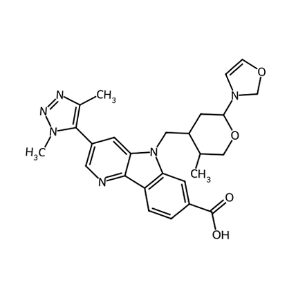 Cc1nnn(C)c1-c1cnc2c3ccc(C(=O)O)cc3n(CC3CC(N4C=COC4)OCC3C)c2c1